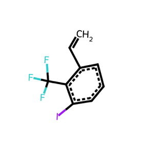 C=Cc1cccc(I)c1C(F)(F)F